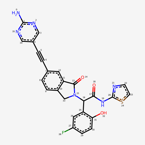 Nc1ncc(C#Cc2ccc3c(c2)C(=O)N(C(C(=O)Nc2nccs2)c2cc(F)ccc2O)C3)cn1